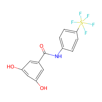 O=C(Nc1ccc(S(F)(F)(F)(F)F)cc1)c1cc(O)cc(O)c1